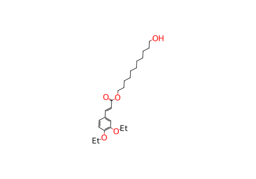 CCOc1ccc(/C=C/C(=O)OCCCCCCCCCCCO)cc1OCC